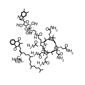 C/C1=C2/[N-][C@H]([C@H](CC(N)=O)[C@@]2(C)CCC(=O)NC[C@@H](C)O[P@@](=O)(O)O[C@@H]2[C@@H](O)[C@@H](n3cnc4cc(C)c(C)cc43)O[C@H]2CO)[C@]2(C)N=C(/C(C)=C3N=C(/C=C4N=C1[C@@H](CCC(N)=O)C\4(C)C)[C@@H](CCC(N)=O)[C@]\3(C)CC(N)=O)[C@@H](CCC(N)=O)[C@]2(C)CC(N)=O.CC(=CCC1=C(C)C(=O)c2ccccc2C1=O)CCCC(C)CCCC(C)CCCC(C)C.Cl.[C-]#N.[Co+3]